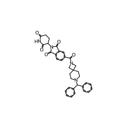 O=C1CCC(N2C(=O)c3ccc(C(=O)N4CC5(CCN(C(c6ccccc6)c6ccccc6)CC5)C4)cc3C2=O)C(=O)N1